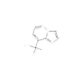 CCCCC(C)(C)c1ccnn2ccnc12